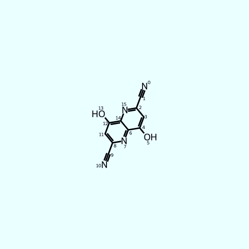 N#Cc1cc(O)c2nc(C#N)cc(O)c2n1